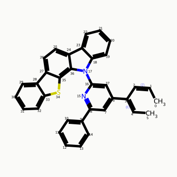 C/C=C\C(=C/C)c1cc(-c2ccccc2)nc(-n2c3ccccc3c3ccc4c5ccccc5sc4c32)c1